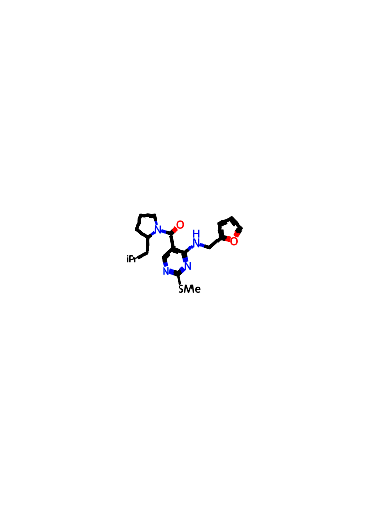 CSc1ncc(C(=O)N2CCCC2CC(C)C)c(NCc2ccco2)n1